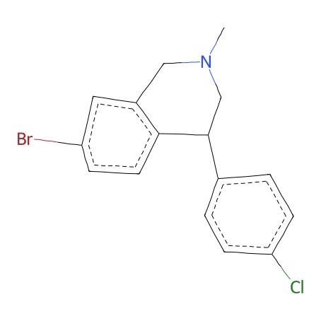 CN1Cc2cc(Br)ccc2C(c2ccc(Cl)cc2)C1